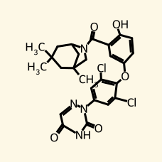 CC1(C)CC2CC(C)(CN2C(=O)c2cc(Oc3c(Cl)cc(-n4ncc(=O)[nH]c4=O)cc3Cl)ccc2O)C1